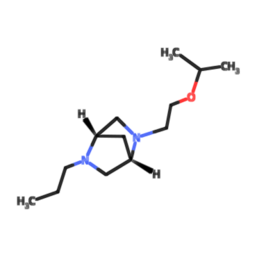 CCCN1C[C@@H]2C[C@H]1CN2CCOC(C)C